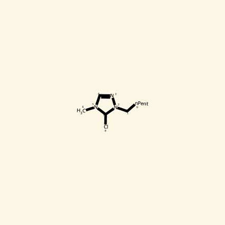 CCCCCCN1N=CN(C)C1Cl